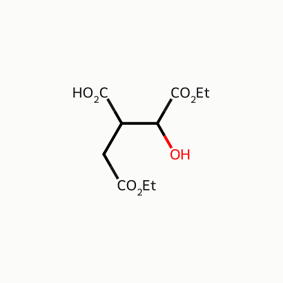 CCOC(=O)CC(C(=O)O)C(O)C(=O)OCC